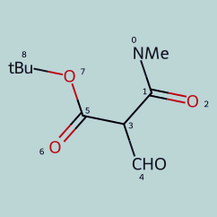 CNC(=O)C(C=O)C(=O)OC(C)(C)C